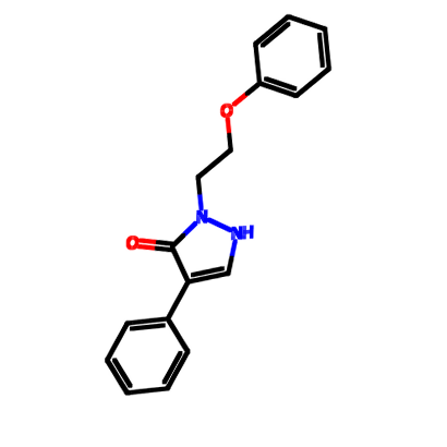 O=c1c(-c2ccccc2)c[nH]n1CCOc1ccccc1